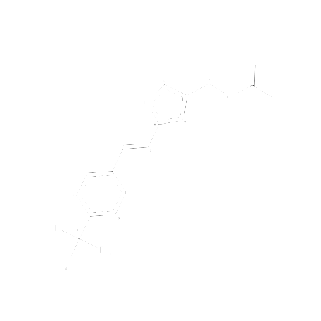 CC(=O)OCc1coc(/C=C/c2ccc(C(F)(F)F)cc2)n1